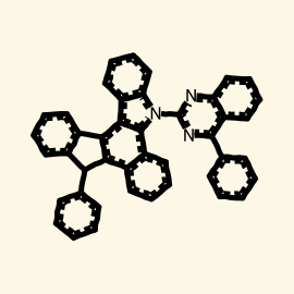 c1ccc(-c2nc(-n3c4ccccc4c4c5c(c6ccccc6c43)C(c3ccccc3)c3ccccc3-5)nc3ccccc23)cc1